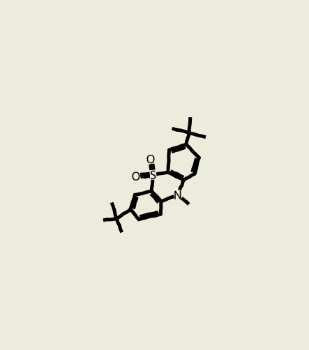 CN1c2ccc(C(C)(C)C)cc2S(=O)(=O)c2cc(C(C)(C)C)ccc21